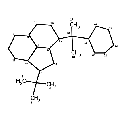 CC(C)(C)C1CC2C3C(CCCC31)CCC2C(C)(C)C1CCCCC1